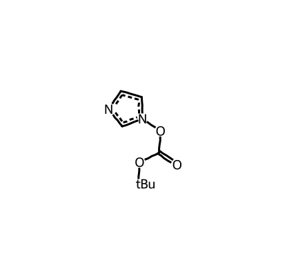 CC(C)(C)OC(=O)On1ccnc1